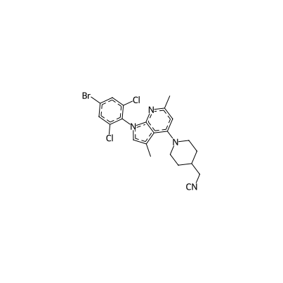 [C-]#[N+]CC1CCN(c2cc(C)nc3c2c(C)cn3-c2c(Cl)cc(Br)cc2Cl)CC1